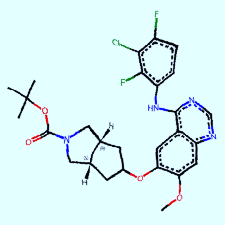 COc1cc2ncnc(Nc3ccc(F)c(Cl)c3F)c2cc1OC1C[C@@H]2CN(C(=O)OC(C)(C)C)C[C@@H]2C1